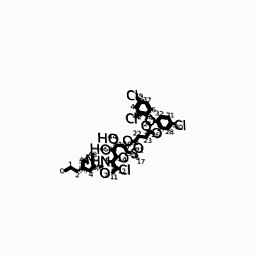 CCC[C@@H]1C[C@@H](C(=O)NC(C(C)Cl)C2OC(SC)C(OC(=O)CCC(=O)Oc3cc(Cl)ccc3Oc3ccc(Cl)cc3Cl)C(O)C2O)N(C)C1